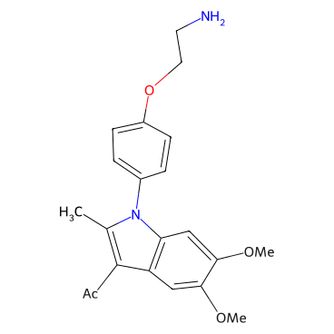 COc1cc2c(C(C)=O)c(C)n(-c3ccc(OCCN)cc3)c2cc1OC